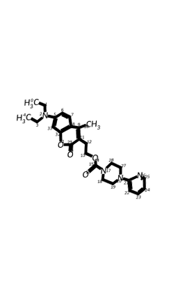 CCN(CC)c1ccc2c(C)c(CCOC(=O)N3CCN(c4ccccn4)CC3)c(=O)oc2c1